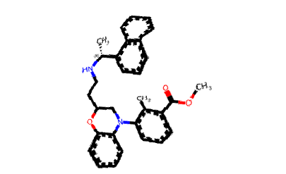 COC(=O)c1cccc(N2CC(CCN[C@H](C)c3cccc4ccccc34)Oc3ccccc32)c1C